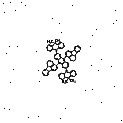 CC1(C)C2=C(C=CCC2)N(c2ccc3c(-c4ccc5c6c(cccc46)-c4ccccc4-5)c4cc(N5c6ccccc6C(C)(C)c6ccccc65)ccc4c(-c4ccc5c6c(cccc46)-c4ccccc4-5)c3c2)c2ccccc21